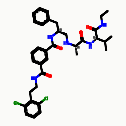 CCNC(=O)[C@@H](NC(=O)[C@H](C)NC[C@H](Cc1ccccc1)NC(=O)c1cccc(C(=O)NCCc2c(Cl)cccc2Cl)c1)C(C)C